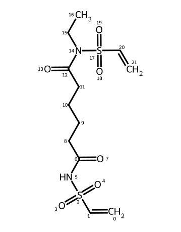 C=CS(=O)(=O)NC(=O)CCCCC(=O)N(CC)S(=O)(=O)C=C